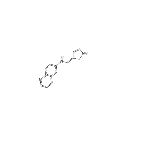 C1=CC(=CNc2ccc3ncccc3c2)CN1